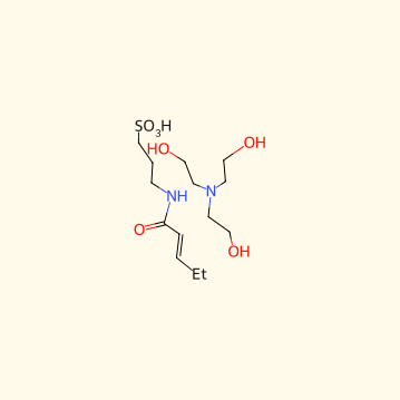 CCC=CC(=O)NCCCS(=O)(=O)O.OCCN(CCO)CCO